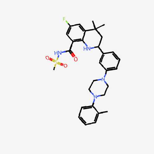 Cc1ccccc1N1CCN(c2cccc(C3CC(C)(C)c4cc(F)cc(C(=O)NS(C)(=O)=O)c4N3)c2)CC1